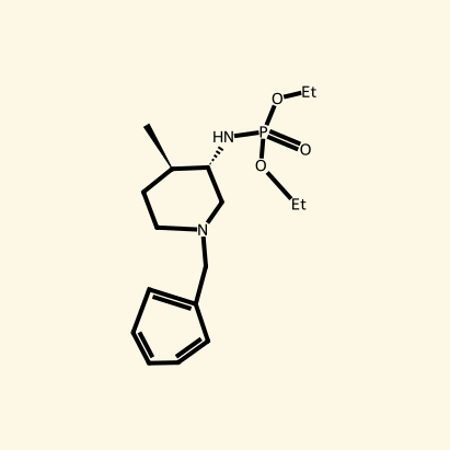 CCOP(=O)(N[C@@H]1CN(Cc2ccccc2)CC[C@H]1C)OCC